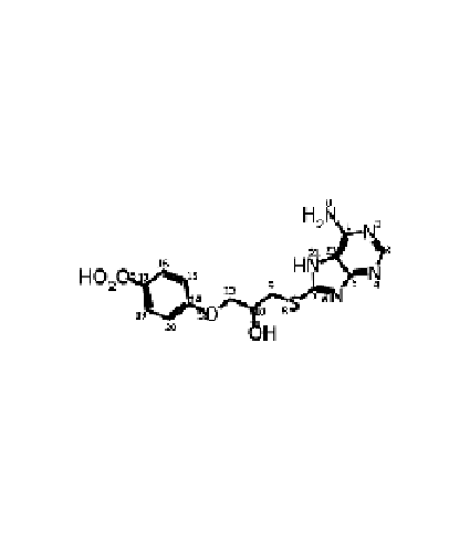 Nc1ncnc2nc(SCC(O)COc3ccc(C(=O)O)cc3)[nH]c12